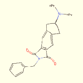 CCCN(CCC)C1Cc2cc3c(cc2C1)C(=O)N(Cc1ccccc1)C3=O